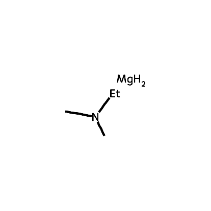 [CH2]CN(C)C.[MgH2]